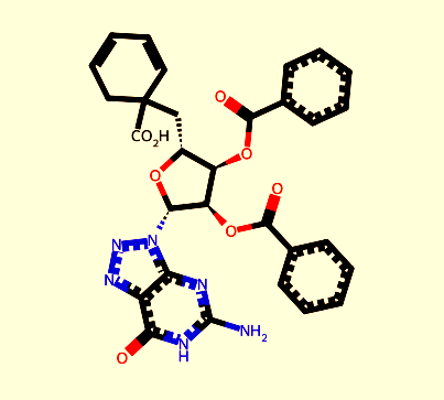 Nc1nc2c(nnn2[C@@H]2O[C@H](CC3(C(=O)O)C=CC=CC3)[C@@H](OC(=O)c3ccccc3)[C@H]2OC(=O)c2ccccc2)c(=O)[nH]1